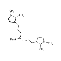 CCCCCN(CCCN1C=CN(C)C1C)CCCN1C=CN(C)C1C